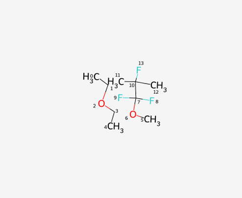 CCOCC.COC(F)(F)C(C)(C)F